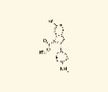 CC(C)(C)OC(=O)n1c(-c2ccc(N)cc2)cc2ccc(Br)cc21